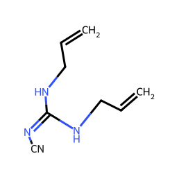 C=CCNC(=NC#N)NCC=C